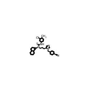 Cc1ccc(NC(=S)N(CCCc2cncn2Cc2ccc(C#N)cc2)C2c3ccc4ccccc4c32)cc1Cl